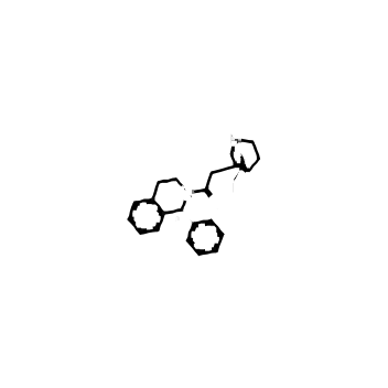 O=C(C[C@@H]1CN2CCC1CC2)N1CCc2ccccc2[C@H]1c1ccccc1